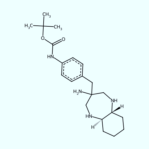 CC(C)(C)OC(=O)Nc1ccc(CC2(N)CN[C@@H]3CCCC[C@H]3NC2)cc1